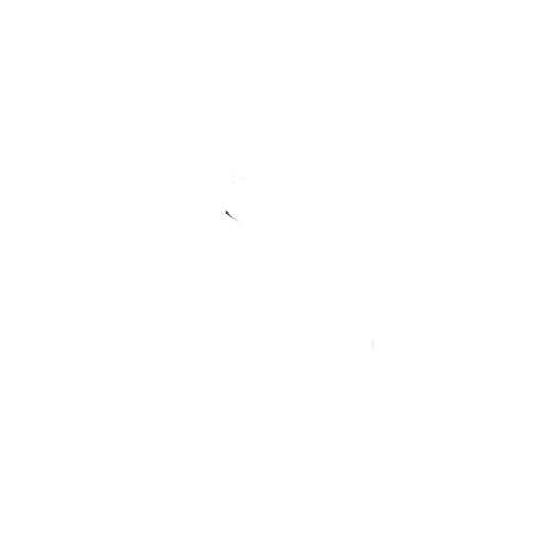 C=CC(C(C)C)[C@H]1CC[C@H](c2ccc(F)cc2)CC1